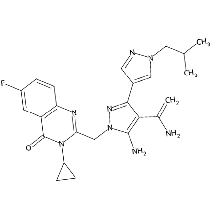 C=C(N)c1c(-c2cnn(CC(C)C)c2)nn(Cc2nc3ccc(F)cc3c(=O)n2C2CC2)c1N